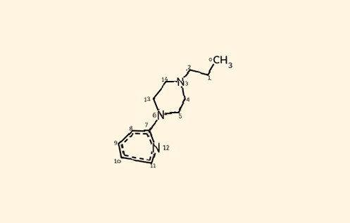 CC[CH]N1CCN(c2ccccn2)CC1